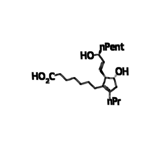 CCCCC[C@H](O)C=C[C@@H]1C(CCCCCCC(=O)O)=C(CCC)C[C@H]1O